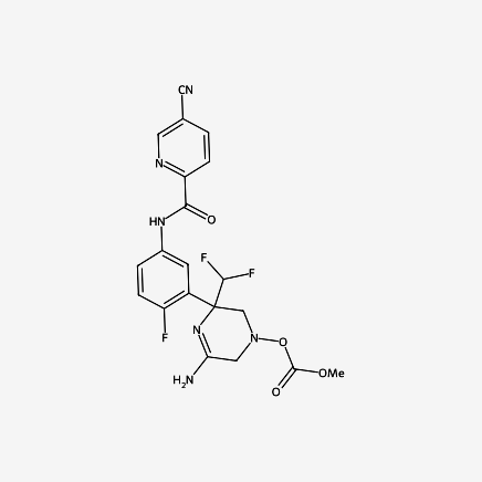 COC(=O)ON1CC(N)=NC(c2cc(NC(=O)c3ccc(C#N)cn3)ccc2F)(C(F)F)C1